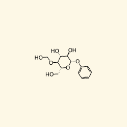 OCO[C@H]1[C@H](O)[C@@H](O)[C@H](Oc2ccccc2)O[C@@H]1CO